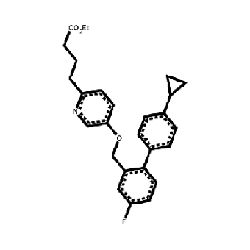 CCOC(=O)CCCc1ccc(OCc2cc(F)ccc2-c2ccc(C3CC3)cc2)cn1